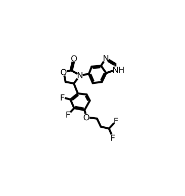 O=C1OCC(c2ccc(OCCC(F)F)c(F)c2F)N1c1ccc2[nH]cnc2c1